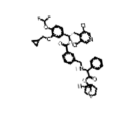 O=C(O[C@@H](Cc1c(Cl)cncc1Cl)c1ccc(OC(F)F)c(OCC2CC2)c1)c1cccc(CNC(C(=O)O[C@H]2CN3CCC2CC3)c2ccccc2)c1